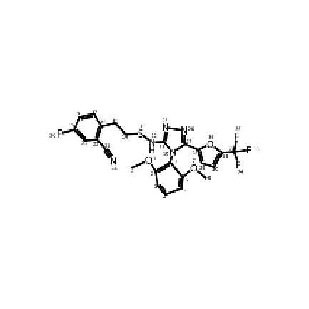 COc1cccc(OC)c1-n1c(NSCCc2ccc(F)cc2C#N)nnc1-c1ccc(C(F)(F)F)o1